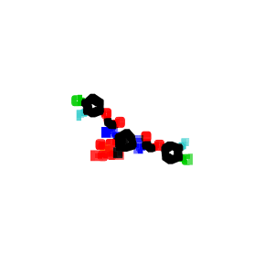 O=C(COc1ccc(Cl)c(F)c1)NC12CCC(NC(=O)COc3ccc(Cl)c(F)c3)(CC1)[C@@H](OP(=O)(O)O)C2